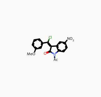 COc1cccc(/C(Cl)=C2\C(=O)N(C(C)=O)c3ccc([N+](=O)[O-])cc32)c1